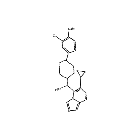 COc1ccc(C2CCC(C(O)c3c(C4CC4)ccc4cncn34)CC2)cc1Cl